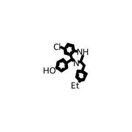 CCc1ccc(CC2CNc3ccc(Cl)cc3C(c3ccc(O)cc3)=N2)cc1